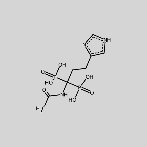 CC(=O)NC(CCc1c[nH]cn1)(P(=O)(O)O)P(=O)(O)O